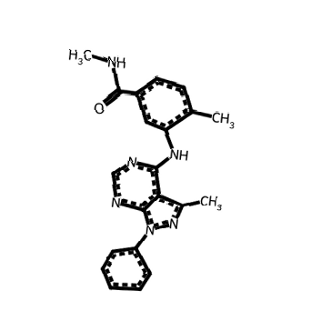 CNC(=O)c1ccc(C)c(Nc2ncnc3c2c(C)nn3-c2ccccc2)c1